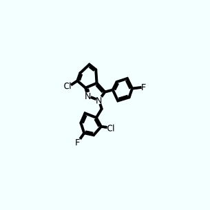 Fc1ccc(-c2c3cccc(Cl)c3nn2Cc2ccc(F)cc2Cl)cc1